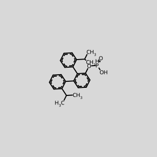 CC(C)c1ccccc1-c1cccc(O[PH](=O)O)c1-c1ccccc1C(C)C